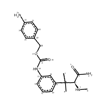 CN[C@H](C(N)=O)C(C)(C)c1cccc(NC(=O)OCc2ccc(N)cc2)c1